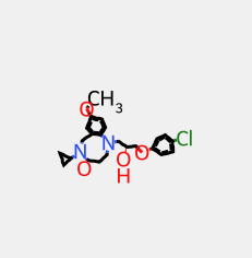 COc1ccc2c(c1)CN(C1CC1)C(=O)CCN2C[C@@H](O)COc1ccc(Cl)cc1